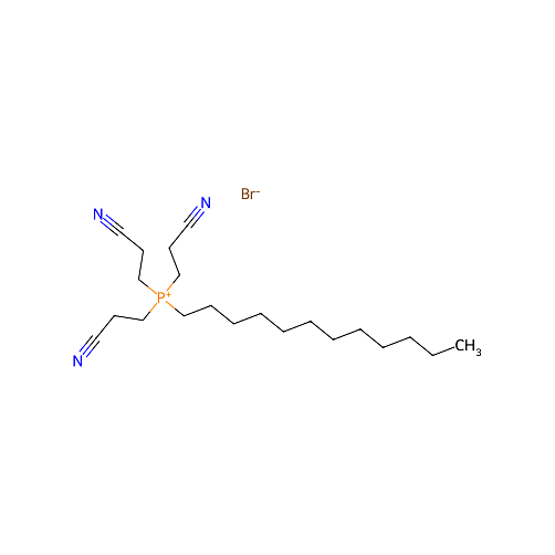 CCCCCCCCCCCC[P+](CCC#N)(CCC#N)CCC#N.[Br-]